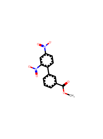 COC(=O)c1[c]ccc(-c2ccc([N+](=O)[O-])cc2[N+](=O)[O-])c1